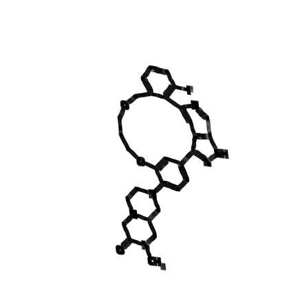 CN1CC2CN(c3ccc4cc3OCCCOCc3cccc(F)c3-c3cc5c-4n[nH]c5cn3)CCN2CC1=O